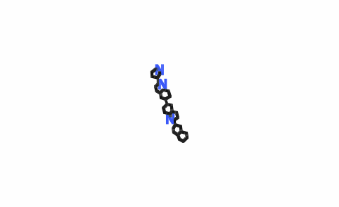 c1cncc(-c2ccc3cc(-c4ccc5nc(-c6ccc7ccccc7c6)ccc5c4)ccc3n2)c1